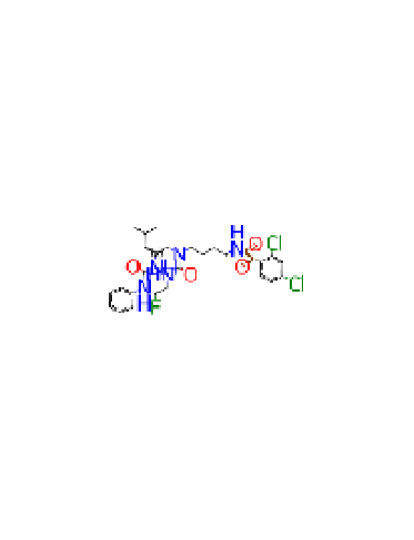 CC(C)C[C@@H](CN(CCCCNS(=O)(=O)c1ccc(Cl)cc1Cl)C(=O)NCCF)NC(=O)Nc1ccccc1